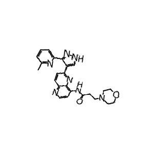 Cc1cccc(-c2n[nH]cc2-c2ccc3nccc(NC(=O)CCN4CCOCC4)c3n2)n1